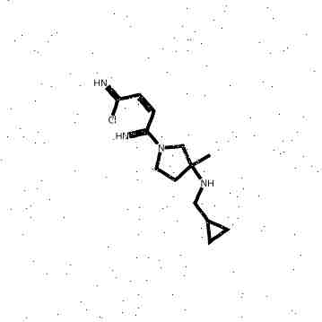 CC1(NCC2CC2)CCN(C(=N)/C=C\C(=N)Cl)C1